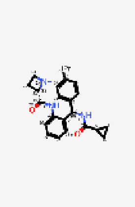 CC(C)c1ccc([C@@H](NC(=O)C2CC2)c2ccccc2NC(=O)[C@@H]2CCN2)cc1